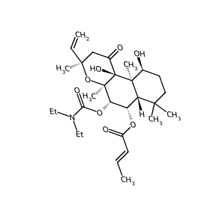 C=C[C@@]1(C)CC(=O)[C@]2(O)[C@@]3(C)[C@@H](O)CCC(C)(C)[C@@H]3[C@H](OC(=O)/C=C/C)[C@H](OC(=O)N(CC)CC)[C@@]2(C)O1